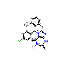 C=C(C)Nc1nc(Cc2cccc(C(F)(F)F)c2)n(Cc2ccc(Cl)cc2)c1C(=C)N(C)CC